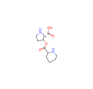 O=C(OC1CCN[C@@H]1C(=O)O)C1CCCCN1